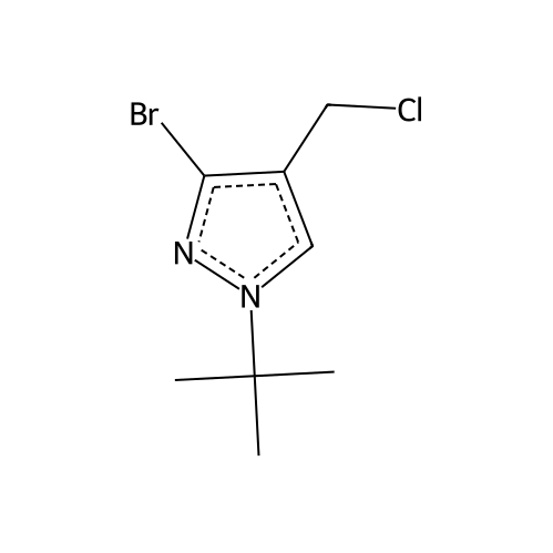 CC(C)(C)n1cc(CCl)c(Br)n1